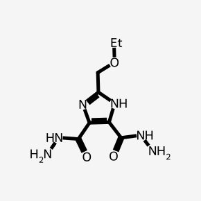 CCOCc1nc(C(=O)NN)c(C(=O)NN)[nH]1